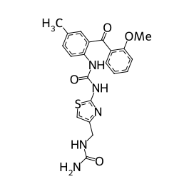 COc1ccccc1C(=O)c1cc(C)ccc1NC(=O)Nc1nc(CNC(N)=O)cs1